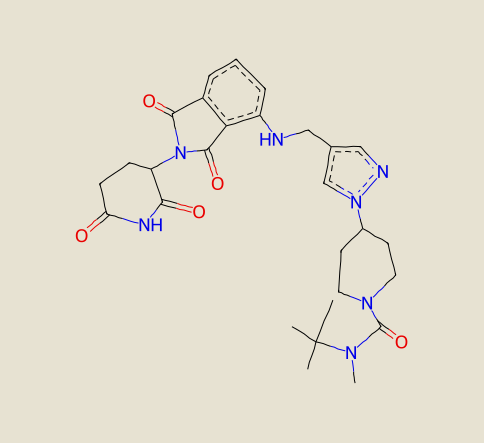 CN(C(=O)N1CCC(n2cc(CNc3cccc4c3C(=O)N(C3CCC(=O)NC3=O)C4=O)cn2)CC1)C(C)(C)C